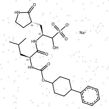 CC(C)C[C@H](NC(=O)OC1CCC(c2ccccc2)CC1)C(=O)N[C@@H](C[C@@H]1CCNC1=O)C(O)S(=O)(=O)[O-].[Na+]